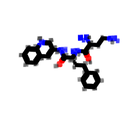 NCC[C@H](N)C(=O)N[C@H](CCc1ccccc1)C(=O)Nc1cnc2ccccc2c1